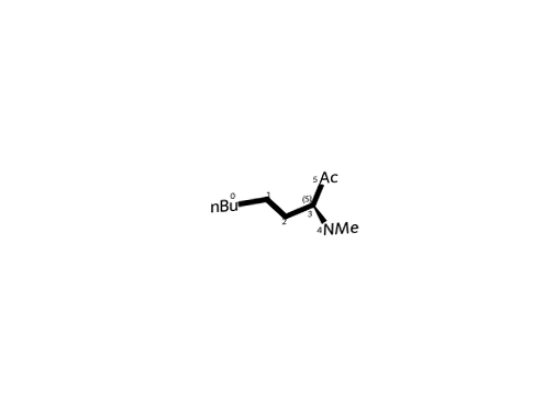 CCCCCC[C@H](NC)C(C)=O